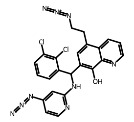 [N-]=[N+]=NCCc1cc(C(Nc2cc(N=[N+]=[N-])ccn2)c2cccc(Cl)c2Cl)c(O)c2ncccc12